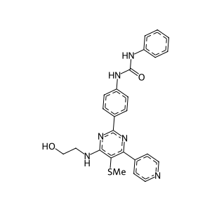 CSc1c(NCCO)nc(-c2ccc(NC(=O)Nc3ccccc3)cc2)nc1-c1ccncc1